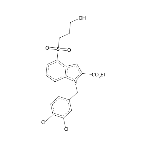 CCOC(=O)c1cc2c(S(=O)(=O)CCCO)cccc2n1Cc1ccc(Cl)c(Cl)c1